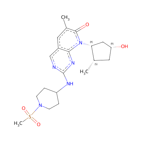 Cc1cc2cnc(NC3CCN(S(C)(=O)=O)CC3)nc2n([C@@H]2C[C@H](O)C[C@@H]2C)c1=O